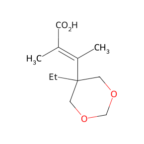 CCC1(C(C)=C(C)C(=O)O)COCOC1